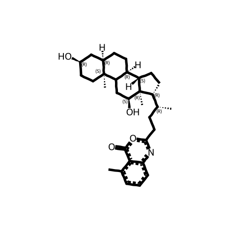 Cc1cccc2nc(CC[C@@H](C)[C@H]3CC[C@H]4[C@@H]5CC[C@@H]6C[C@H](O)CC[C@]6(C)C5C[C@H](O)[C@]34C)oc(=O)c12